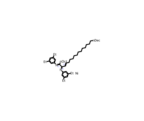 CCCCCCCCCCCCCCCCCCCCCC/C=C/C(=N\c1cc(CC)cc(CC)c1)C(/CCCCCCCC)=N/c1cc(CC)cc(CC)c1.[Ni]